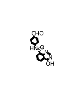 O=Cc1ccc(N[S+]([O-])c2cccc3c(O)ncnc23)cc1